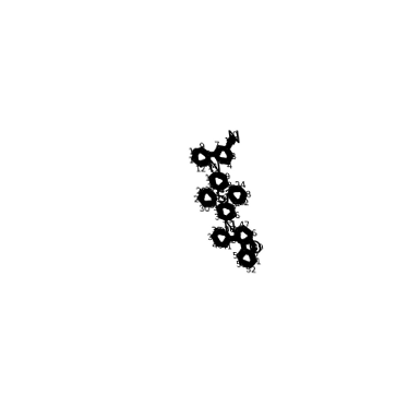 N#Cc1ccc2c(c1)c1ccccc1n2-c1ccc([Si](c2ccccc2)(c2ccccc2)c2ccc(-n3c4ccccc4c4c5c(ccc43)oc3ccccc35)cc2)cc1